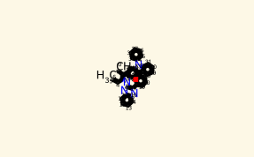 C=Cc1c(/C=C\C)n(-c2nc3ccccc3nc2-c2ccccc2)c2cc3c4ccccc4n(-c4ccccc4)c3cc12